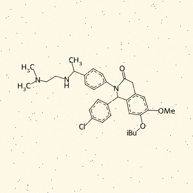 CCC(C)Oc1cc2c(cc1OC)CC(=O)N(c1ccc(C(C)NCCN(C)C)cc1)C2c1ccc(Cl)cc1